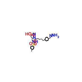 Cc1ccc(S(=O)(=O)NCC(CC(=O)O)NC(=O)CCCCc2ccc(C=NN)cc2)cc1